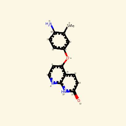 CSc1cc(Oc2ccnc3[nH]c(=O)ccc23)ccc1N